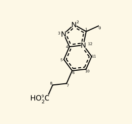 Cc1nnc2cc(CCC(=O)O)ccn12